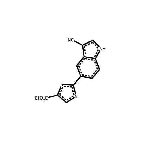 CCOC(=O)c1cnc(-c2ccc3[nH]cc(C#N)c3c2)s1